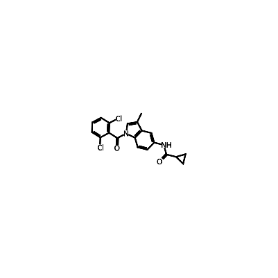 Cc1cn(C(=O)c2c(Cl)cccc2Cl)c2ccc(NC(=O)C3CC3)cc12